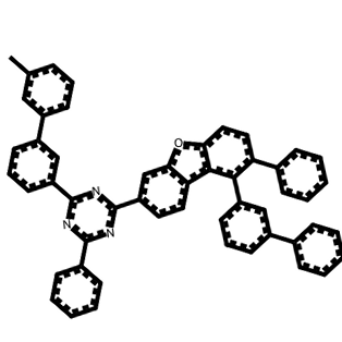 Cc1cccc(-c2cccc(-c3nc(-c4ccccc4)nc(-c4ccc5c(c4)oc4ccc(-c6ccccc6)c(-c6cccc(-c7ccccc7)c6)c45)n3)c2)c1